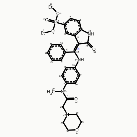 CCOP(=O)(OCC)c1ccc2c(c1)/C(=C(/Nc1ccc(N(C)C(=O)CN3CCOCC3)cc1)c1ccccc1)C(=O)N2